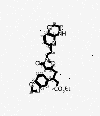 CCOC(=O)CC(Cc1cc(=O)n(CCc2ccc3c(n2)NCCO3)o1)c1ccc2c(c1)OCO2